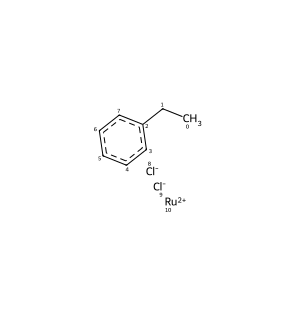 CCc1ccccc1.[Cl-].[Cl-].[Ru+2]